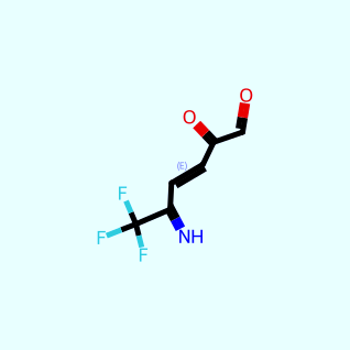 N=C(/C=C/C(=O)C=O)C(F)(F)F